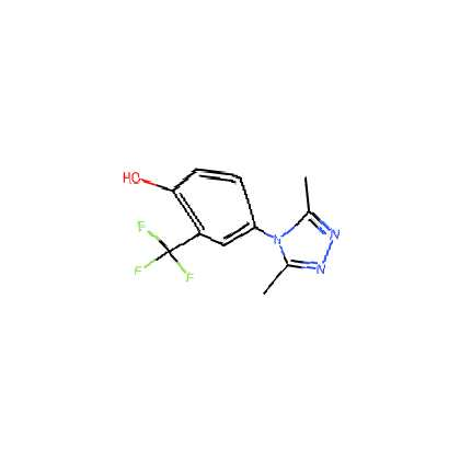 Cc1nnc(C)n1-c1ccc(O)c(C(F)(F)F)c1